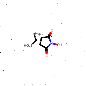 CCCCCCCCS(=O)(=O)O.O=C1CCC(=O)N1O